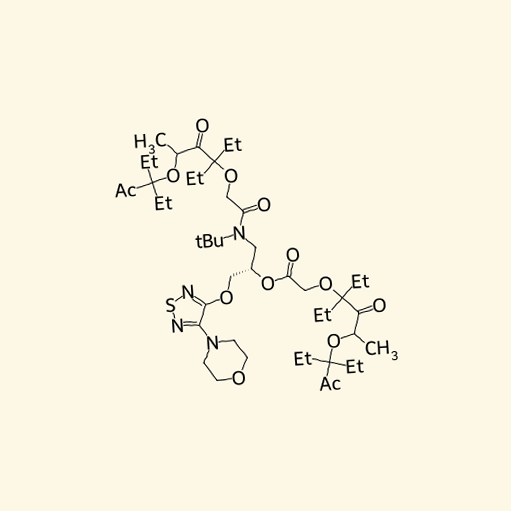 CCC(CC)(OC(C)C(=O)C(CC)(CC)OCC(=O)O[C@H](COc1nsnc1N1CCOCC1)CN(C(=O)COC(CC)(CC)C(=O)C(C)OC(CC)(CC)C(C)=O)C(C)(C)C)C(C)=O